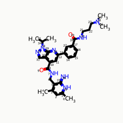 Cc1cc(C)c(CNC(=O)c2cc(-c3cccc(C(=O)NCCCN(C)C)c3)nc3c2cnn3C(C)C)c(=N)[nH]1